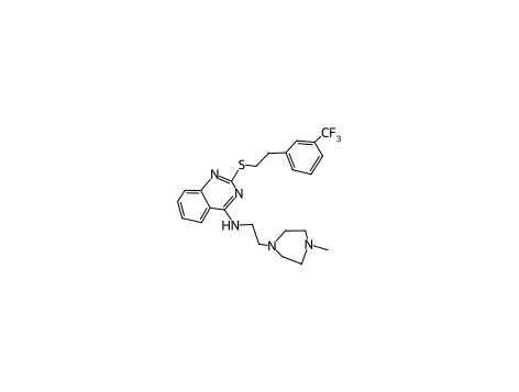 CN1CCN(CCNc2nc(SCCc3cccc(C(F)(F)F)c3)nc3ccccc23)CC1